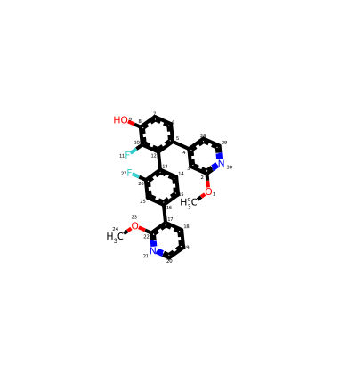 COc1cc(-c2ccc(O)c(F)c2-c2ccc(-c3cccnc3OC)cc2F)ccn1